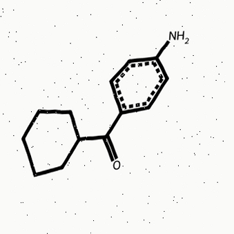 Nc1ccc(C(=O)C2CCCCC2)cc1